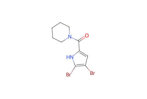 O=C(c1cc(Br)c(Br)[nH]1)N1CCCCC1